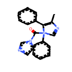 CC1=C(c2ccccc2)[N+](C(=O)n2ccnc2)(c2ccccc2)C=N1